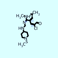 C=N/C=C(/C=C(/Cl)C=O)C(=N/CNC1CCN(SC)CC1)\NC